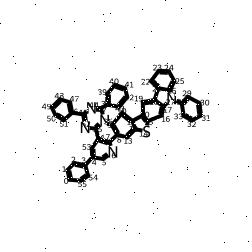 c1ccc(-c2cnc(-c3ccc4c(c3)sc3cc5c(cc34)c3ccccc3n5-c3ccccc3)c(-c3nc(-c4ccccc4)nc(-c4ccccc4)n3)c2)cc1